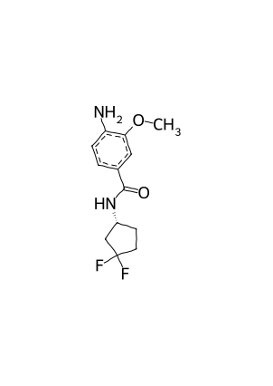 COc1cc(C(=O)N[C@@H]2CCC(F)(F)C2)ccc1N